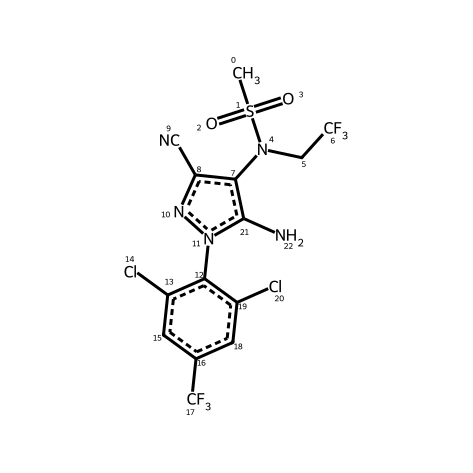 CS(=O)(=O)N(CC(F)(F)F)c1c(C#N)nn(-c2c(Cl)cc(C(F)(F)F)cc2Cl)c1N